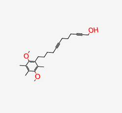 COc1c(C)c(C)c(OC)c(CCCCC#CCCCC#CCO)c1C